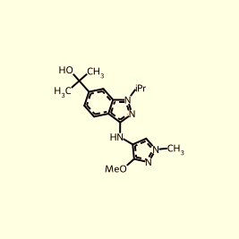 COc1nn(C)cc1Nc1nn(C(C)C)c2cc(C(C)(C)O)ccc12